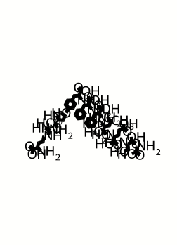 CC(C)CC(N)C(=O)O.N=C(N)NCCCC(N)C(=O)O.NC(CCC(=O)O)C(=O)O.NC(CO)C(=O)O.NC(Cc1ccc(O)cc1)C(=O)O.NC(Cc1ccccc1)C(=O)O.NC(Cc1ccccc1)C(=O)O.NCC(=O)O.O=C(O)[C@@H]1CCCN1